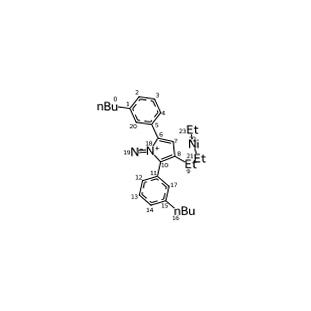 CCCCc1cccc(C2=CC(CC)=C(c3cccc(CCCC)c3)[N+]2=[N-])c1.C[CH2][Ni][CH2]C